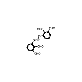 O=Cc1cccc(OBOc2cccc(C=O)c2C=O)c1C=O